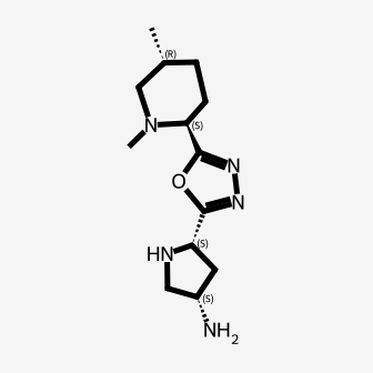 C[C@@H]1CC[C@@H](c2nnc([C@@H]3C[C@H](N)CN3)o2)N(C)C1